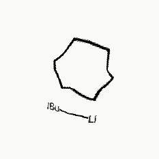 C1CCCCC1.[Li][CH](C)CC